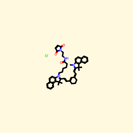 CN1C(=CC=C2C=C(C=CC3=[N+](CCCCCC(=O)NCCN4C(=O)C=CC4=O)c4ccc5ccccc5c4C3(C)C)CCC2)C(C)(C)c2c1ccc1ccccc21.[Cl-]